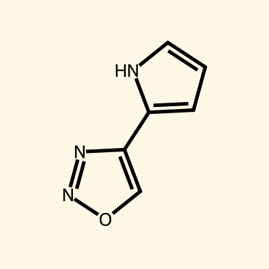 c1c[nH]c(-c2conn2)c1